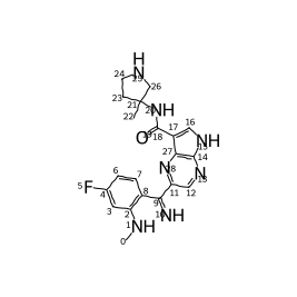 CNc1cc(F)ccc1C(=N)c1cnc2[nH]cc(C(=O)NC3(C)CCNC3)c2n1